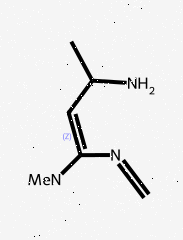 C=N/C(=C\C(C)N)NC